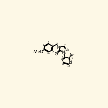 COc1ccc(Cn2cnn(-c3nccnc3C(C)=O)c2=O)cc1